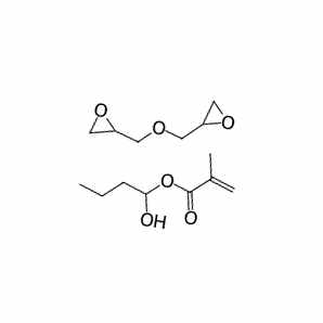 C(OCC1CO1)C1CO1.C=C(C)C(=O)OC(O)CCC